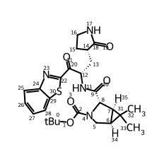 CC(C)(C)OC(=O)N1C[C@H]2[C@@H]([C@H]1C(=O)N[C@@H](C[C@@H]1CCNC1=O)C(=O)c1nc3ccccc3s1)C2(C)C